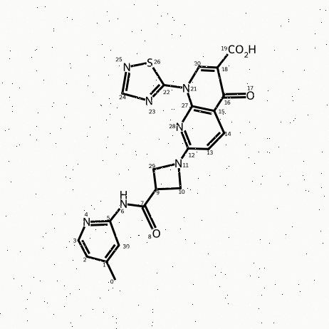 Cc1ccnc(NC(=O)C2CN(c3ccc4c(=O)c(C(=O)O)cn(-c5ncns5)c4n3)C2)c1